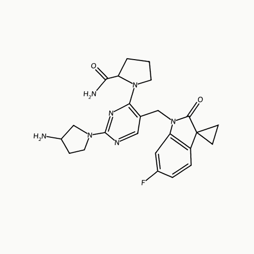 NC(=O)C1CCCN1c1nc(N2CCC(N)C2)ncc1CN1C(=O)C2(CC2)c2ccc(F)cc21